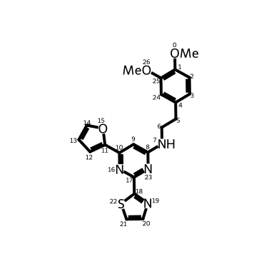 COc1ccc(CCNc2cc(-c3ccco3)nc(-c3nccs3)n2)cc1OC